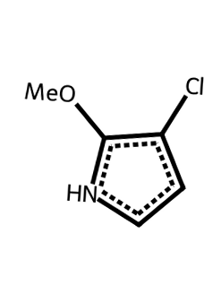 COc1[nH]ccc1Cl